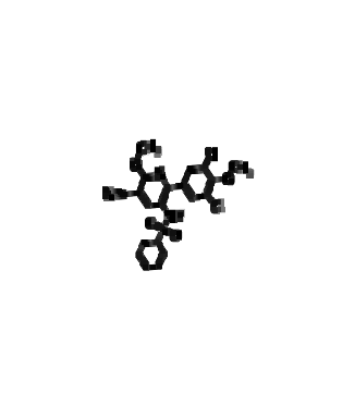 COc1nc(-c2cc(Cl)c(OC)c(Cl)c2)c(NS(=O)(=O)c2ccccc2)cc1C#N